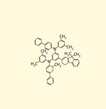 Cc1cc(C)cc(N(C2=CC=C(c3ccccc3)CC2C)c2cc(C3=CC4=C(CC3)c3ccccc3C4(C)C)cc(N(c3ccc(-c4ccccc4)cc3)c3cc(C)cc(C)c3)c2)c1